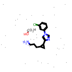 NCCCC1CC1c1cn(-c2cccc(Cl)c2)cn1.O=C(O)O